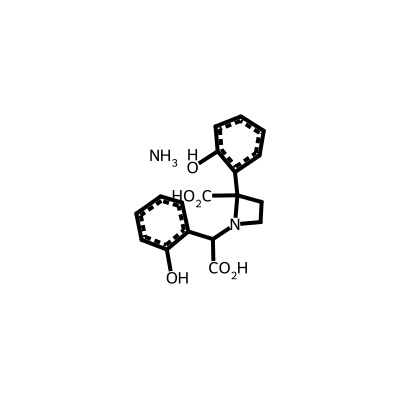 N.O=C(O)C(c1ccccc1O)N1CCC1(C(=O)O)c1ccccc1O